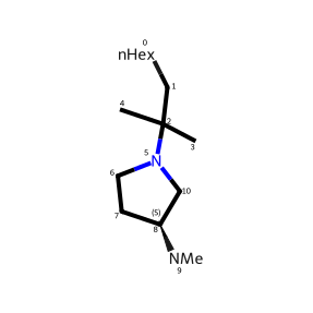 CCCCCCCC(C)(C)N1CC[C@H](NC)C1